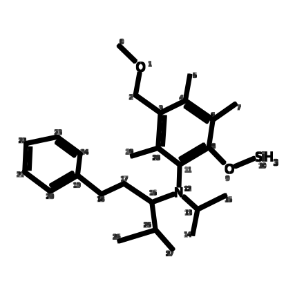 COCc1c(C)c(C)c(O[SiH3])c(N(C(C)C)C(CCc2ccccc2)C(C)C)c1C